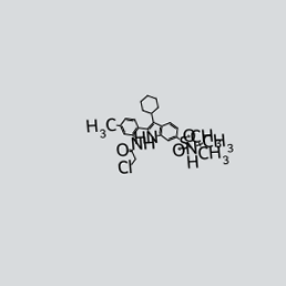 Cc1ccc(-c2[nH]c3cc(S(=O)(=O)NC(C)(C)C)ccc3c2C2CCCCC2)c(NC(=O)CCl)c1